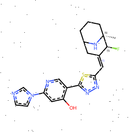 C[C@]12CCCC(C/C(=C\c3nnc(-c4cnc(-n5ccnc5)cc4O)s3)[C@@H]1F)N2